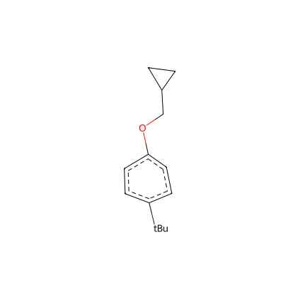 CC(C)(C)c1ccc(OCC2CC2)cc1